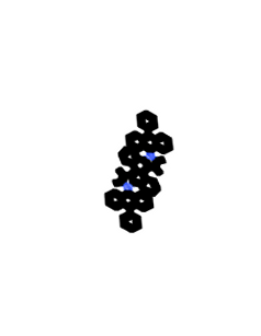 Cc1c(C)n(-c2c3ccccc3c(-c3ccccc3)c3ccccc23)c2c3ccccc3c3c4c(C)c(C)n(-c5c6ccccc6c(-c6ccccc6)c6ccccc56)c4c4ccccc4c3c12